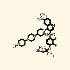 CCN1CCC(N2CCN(C3CCN(c4c(S(=O)(=O)c5ccc(OC(C)(C)CC(C)(C)C)c(F)c5F)cnc5ccc([S+](C)[O-])cc45)CC3)CC2)CC1